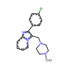 O=CN1CCN(Cc2c(-c3ccc(Br)cc3)nc3ccccn23)CC1